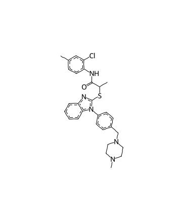 Cc1ccc(NC(=O)C(C)Sc2nc3ccccc3n2-c2ccc(CN3CCN(C)CC3)cc2)c(Cl)c1